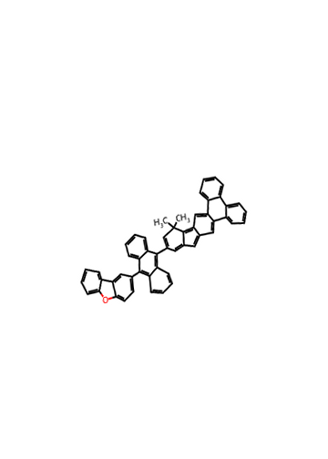 CC1(C)C=C(c2c3ccccc3c(-c3ccc4oc5ccccc5c4c3)c3ccccc23)C=C2C=c3cc4c5ccccc5c5ccccc5c4cc3=C21